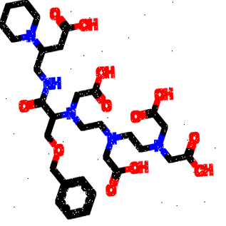 O=C(O)CC(CNC(=O)C(COCc1ccccc1)N(CCN(CCN(CC(=O)O)CC(=O)O)CC(=O)O)CC(=O)O)N1CCCCC1